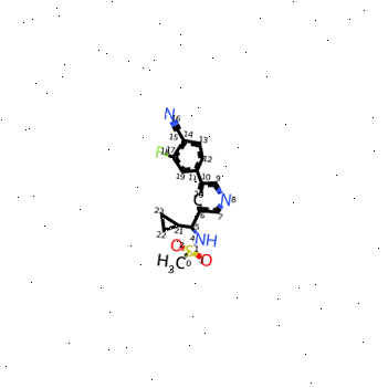 CS(=O)(=O)NC(c1cncc(-c2ccc(C#N)c(F)c2)c1)C1CC1